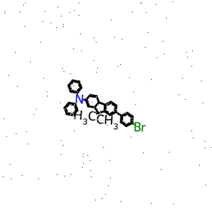 CC1(C)c2cc(-c3ccc(Br)cc3)ccc2C2C=CC(N(c3ccccc3)c3ccccc3)=CC21